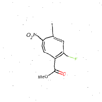 COC(=O)c1cc([N+](=O)[O-])c(C)cc1F